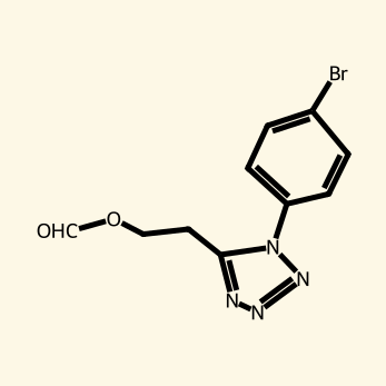 O=COCCc1nnnn1-c1ccc(Br)cc1